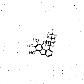 Oc1c(O)c(O)c2c(c1O)Cc1cccc(C(F)(F)C(F)(F)C(F)(F)C(F)(F)F)c1-2